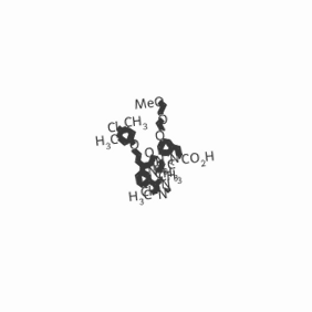 COCCOCCOc1cc(N2C[C@@H](C)n3c(c(CCCOc4cc(C)c(Cl)c(C)c4)c4ccc(Cl)c(-c5c(C)ncnc5C)c43)C2=O)c2c(c1)cc(C(=O)O)n2C